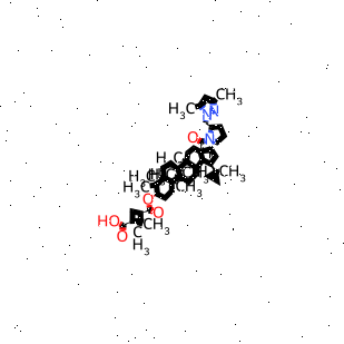 Cc1cc(C)n(C[C@@H]2CCCN2C(=O)[C@]23CC[C@@H](C4(C)CC4)[C@@H]2[C@H]2CC[C@@]4(C)[C@@](C)(CC[C@H]5C(C)(C)[C@@H](OC(=O)[C@H]6C[C@@H](C(=O)O)C6(C)C)CC[C@@]54C)[C@]2(C)CC3)n1